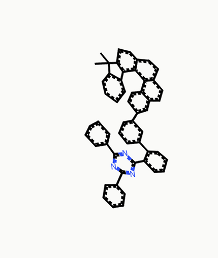 CC1(C)c2ccccc2-c2c1ccc1ccc3ccc4cc(-c5cccc(-c6ccccc6-c6nc(-c7ccccc7)nc(-c7ccccc7)n6)c5)ccc4c3c21